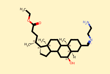 CCOC(=O)CC[C@@H](C)[C@H]1CCC2C3C[C@H](O)[C@@H]4CC(/C=N\CCN)CC[C@]4(C)C3CC[C@@]21C